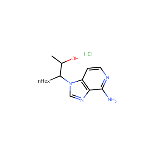 CCCCCCC(C(C)O)n1cnc2c(N)nccc21.Cl